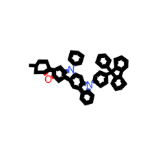 CC1C=Cc2c(oc3cc4c5cc6c7ccccc7n(-c7ccc(C8(c9ccccc9)c9ccccc9-c9ccccc98)cc7)c6cc5n(-c5ccccc5)c4cc23)C1